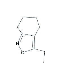 CCc1onc2c1CCCC2